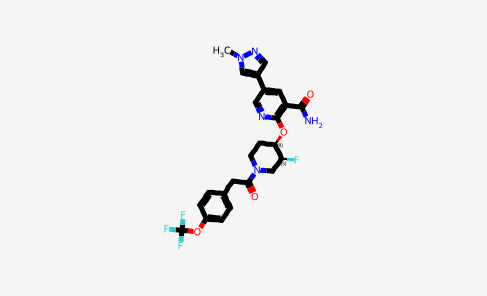 Cn1cc(-c2cnc(O[C@@H]3CCN(C(=O)Cc4ccc(OC(F)(F)F)cc4)C[C@@H]3F)c(C(N)=O)c2)cn1